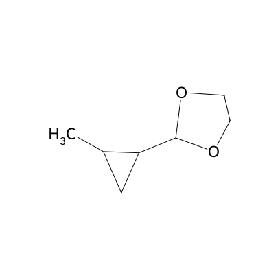 CC1CC1C1OCCO1